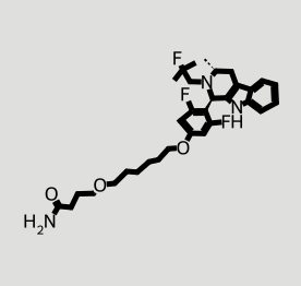 C[C@@H]1Cc2c([nH]c3ccccc23)[C@@H](c2c(F)cc(OCCCCCCOCCCC(N)=O)cc2F)N1CC(C)(C)F